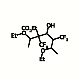 CCOC(=O)C(C(C)OCC)(C(O)C(C(C)OCC)C(F)(F)F)C(F)(F)F